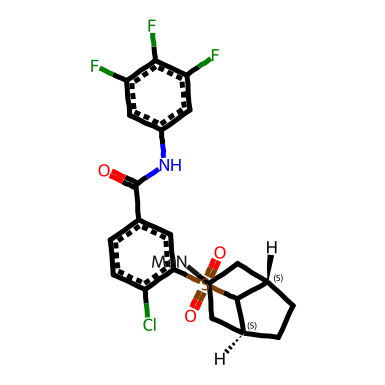 CNC1C[C@@H]2CC[C@@H](C1)C2S(=O)(=O)c1cc(C(=O)Nc2cc(F)c(F)c(F)c2)ccc1Cl